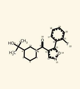 CC(C)(O)C1CCCN(C(=O)c2cnoc2-c2ccccc2F)C1